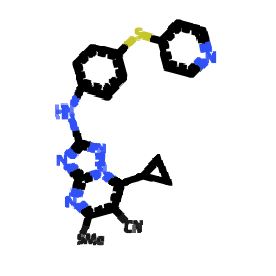 CSc1nc2nc(Nc3ccc(Sc4ccncc4)cc3)nn2c(C2CC2)c1C#N